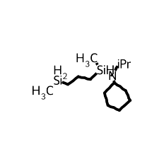 C[SiH2]CCC[SiH](C)N(C(C)C)C1CCCCC1